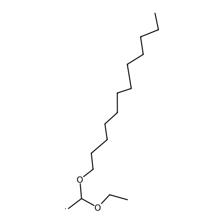 [CH2]C(OCC)OCCCCCCCCCCCC